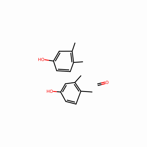 C=O.Cc1ccc(O)cc1C.Cc1ccc(O)cc1C